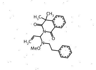 C=CC(N(CCc1ccccc1)OC)N1C(=O)c2ccccc2C(C)(C)C1=O